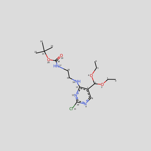 CCOC(OCC)c1cnc(Cl)nc1NCCNC(=O)OC(C)(C)C